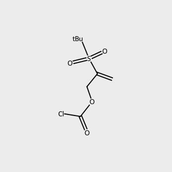 C=C(COC(=O)Cl)S(=O)(=O)C(C)(C)C